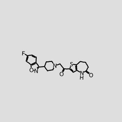 O=C1CCCc2sc(C(=O)CN3CCC(c4noc5cc(F)ccc45)CC3)cc2N1